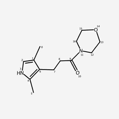 Cc1c[nH]c(C)c1CCC(=O)N1CCOCC1